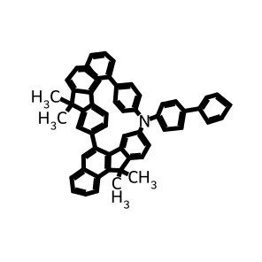 CC1(C)c2ccccc2-c2ccc(-c3cc4ccccc4c4c3-c3cc(N(c5ccc(-c6ccccc6)cc5)c5ccc(-c6ccccc6)cc5)ccc3C4(C)C)cc21